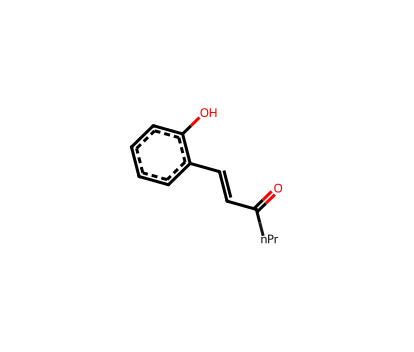 CCCC(=O)/C=C/c1ccccc1O